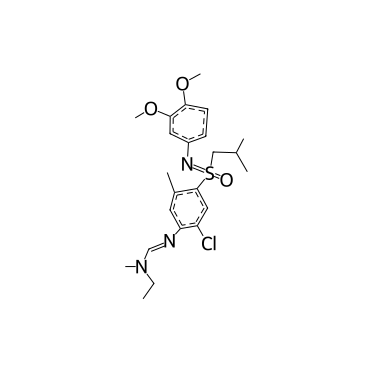 CCN(C)C=Nc1cc(C)c(S(=O)(CC(C)C)=Nc2ccc(OC)c(OC)c2)cc1Cl